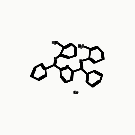 Cc1ccccc1N=C(c1ccccc1)c1cccc(C(=Nc2ccccc2C)c2ccccc2)n1.[Co]